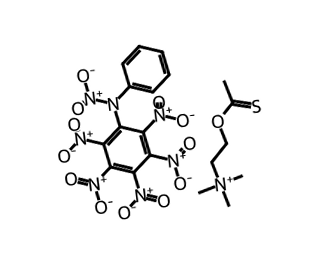 CC(=S)OCC[N+](C)(C)C.O=[N+]([O-])c1c(N(c2ccccc2)[N+](=O)[O-])c([N+](=O)[O-])c([N+](=O)[O-])c([N+](=O)[O-])c1[N+](=O)[O-]